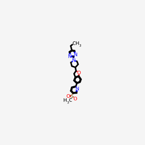 CCc1cnc(N2CCC(C3Cc4cc(-c5ccc(S(C)(=O)=O)cn5)ccc4O3)CC2)nc1